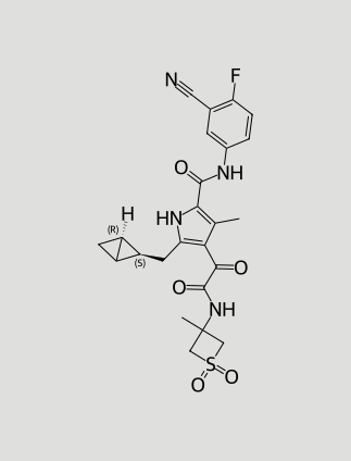 Cc1c(C(=O)Nc2ccc(F)c(C#N)c2)[nH]c(C[C@H]2C3C[C@H]32)c1C(=O)C(=O)NC1(C)CS(=O)(=O)C1